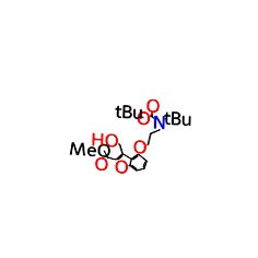 COC(=O)c1oc2cccc(OCCCN(C(=O)OC(C)(C)C)C(C)(C)C)c2c1CO